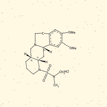 COc1cc2c(cc1OC)[C@@H]1C[C@H]3[C@H](CCCN3S(=O)(=O)N(C)C)CN1CC2.Cl